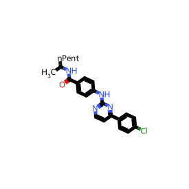 CCCCCC(C)NC(=O)c1ccc(Nc2nccc(-c3ccc(Cl)cc3)n2)cc1